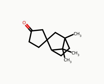 CC12CCC(C3(CCC(=O)C3)C1)C2(C)C